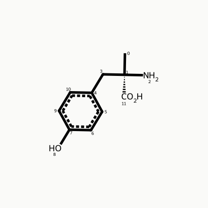 C[C@@](N)(Cc1ccc(O)cc1)C(=O)O